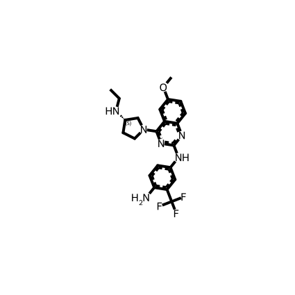 CCN[C@H]1CCN(c2nc(Nc3ccc(N)c(C(F)(F)F)c3)nc3ccc(OC)cc23)C1